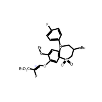 CCCCC1CN(c2ccc(F)cc2)c2cc(SCC)c(O/C=C(\F)C(=O)OCC)cc2S(=O)(=O)C1